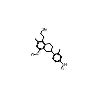 CCNc1ccc(C2CCc3c(CCC(C)(C)C)c(C)cc(OCl)c3C2)c(C)c1